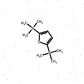 C[Si](C)(C)c1ccc([Si](C)(C)C)o1